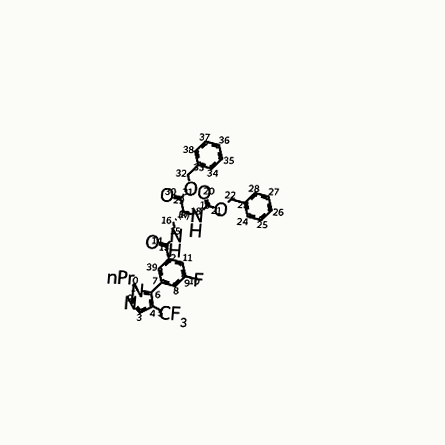 CCCn1ncc(C(F)(F)F)c1-c1cc(F)cc(C(=O)NC[C@@H](NC(=O)OCc2ccccc2)C(=O)OCc2ccccc2)c1